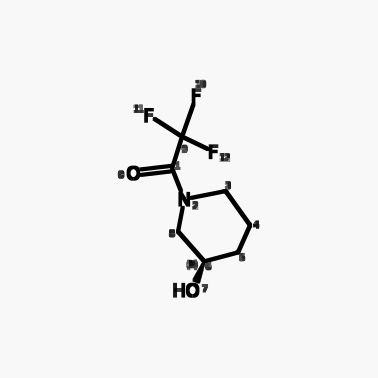 O=C(N1CCC[C@@H](O)C1)C(F)(F)F